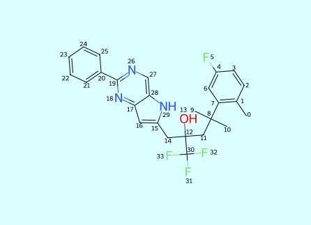 Cc1ccc(F)cc1C(C)(C)CC(O)(Cc1cc2nc(-c3ccccc3)ncc2[nH]1)C(F)(F)F